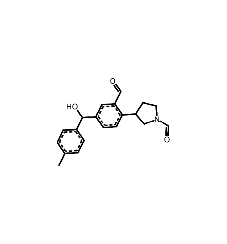 Cc1ccc(C(O)c2ccc(C3CCN(C=O)C3)c(C=O)c2)cc1